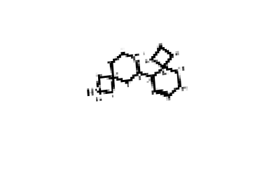 C1=CC(C2CC3(CCO2)CNC3)C2(CC1)CCC2